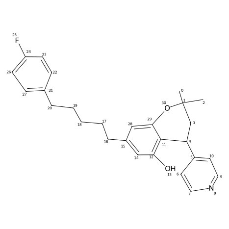 CC1(C)CC(c2ccncc2)c2c(O)cc(CCCCCc3ccc(F)cc3)cc2O1